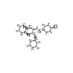 CC(=CSc1ccc(Cl)cc1)C(=Nc1ccccc1)Sc1ccccc1